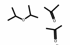 CC(C)=O.CC(C)=O.CC(C)OC(C)C.[Ti]